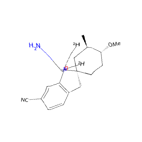 [2H]C1([2H])OC(N)=N[C@]12c1cc(C#N)ccc1C[C@]21CC[C@@H](OC)[C@H](C)C1